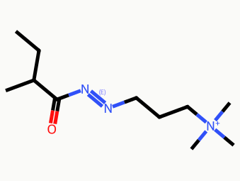 CCC(C)C(=O)/N=N/CCC[N+](C)(C)C